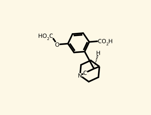 O=C(O)Oc1ccc(C(=O)O)c([C@@H]2CN3CCC2CC3)c1